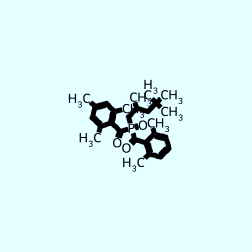 Cc1cc(C)c(C(=O)P(=O)(CC(C)CC(C)(C)C)C(=O)c2c(C)cccc2C)c(C)c1